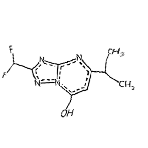 CC(C)c1cc(O)n2nc(C(F)F)nc2n1